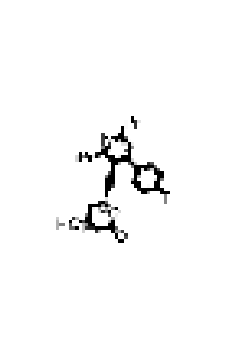 CC(C)c1cc(-c2ccc(F)cc2)c(C#C[C@@H]2C[C@@H](O)CC(=O)O2)c(C(C)C)n1